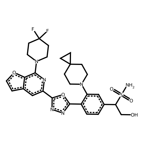 NS(=O)(=O)C(CO)c1ccc(-c2nnc(-c3cc4ccoc4c(N4CCC(F)(F)CC4)n3)o2)c(N2CCC3(CC2)CC3)c1